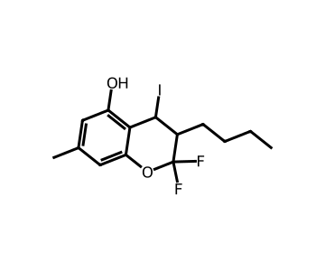 CCCCC1C(I)c2c(O)cc(C)cc2OC1(F)F